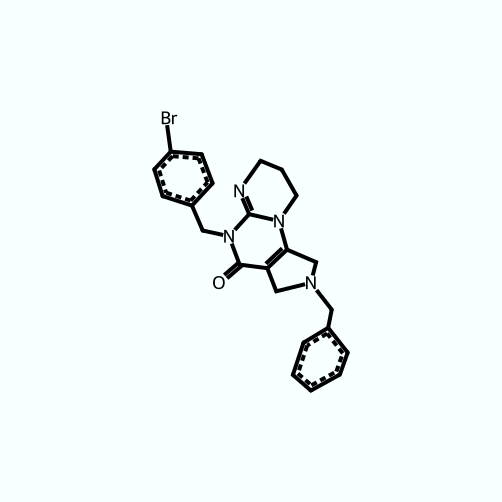 O=C1C2=C(CN(Cc3ccccc3)C2)N2CCCN=C2N1Cc1ccc(Br)cc1